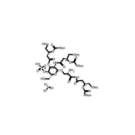 CCCCCCCCCCC[C@H](CC(=O)NC(=O)[C@@H](N)CO[C@@H]1O[C@H](CO)[C@@H](OP(=O)(O)O)[C@H](OC(=O)C[C@@H](CCCCCCCCCCC)OC(=O)CCCCCCCCC)[C@H]1NC(=O)C[C@@H](CCCCCCCCCCC)OC(=O)CCCCCCCCC)OC(=O)CCCCCCCCC.CCN(CC)CC